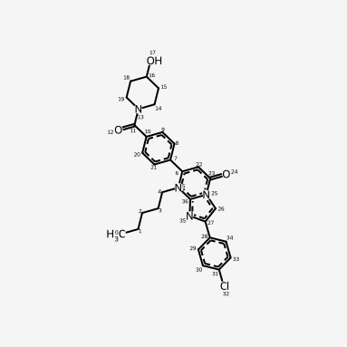 CCCCCn1c(-c2ccc(C(=O)N3CCC(O)CC3)cc2)cc(=O)n2cc(-c3ccc(Cl)cc3)nc12